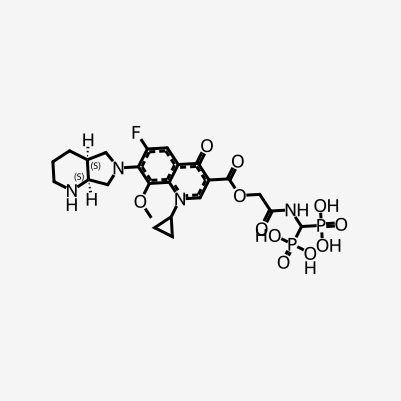 COc1c(N2C[C@@H]3CCCN[C@@H]3C2)c(F)cc2c(=O)c(C(=O)OCC(=O)NC(P(=O)(O)O)P(=O)(O)O)cn(C3CC3)c12